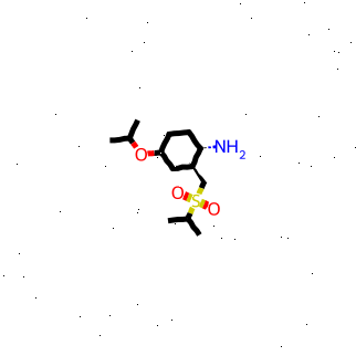 CC(C)OC1CC[C@H](N)[C@@H](CS(=O)(=O)C(C)C)C1